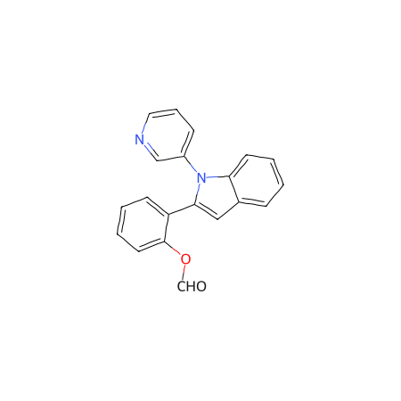 O=COc1ccccc1-c1cc2ccccc2n1-c1cccnc1